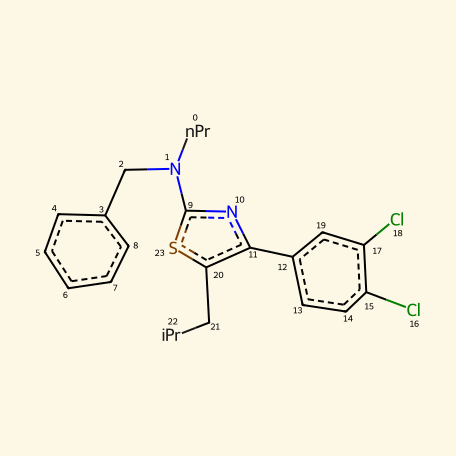 CCCN(Cc1ccccc1)c1nc(-c2ccc(Cl)c(Cl)c2)c(CC(C)C)s1